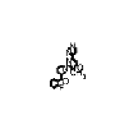 Cn1c(N2CCCC(C(=O)c3ccccc3F)C2)nc(-c2ccncn2)cc1=O